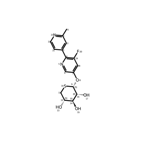 Cc1cc(-c2ncc(O[C@H]3SC[C@@H](O)[C@H](O)[C@H]3O)cc2F)ccn1